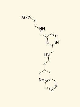 COCCNCc1ccnc(CNCCC(CN)Cc2ccccc2)c1